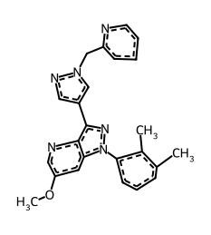 COc1cnc2c(-c3cnn(Cc4ccccn4)c3)nn(-c3cccc(C)c3C)c2c1